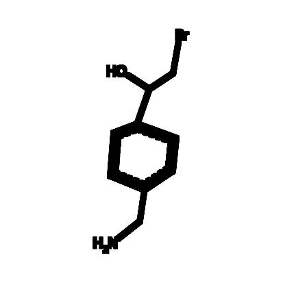 NCc1ccc(C(O)CBr)cc1